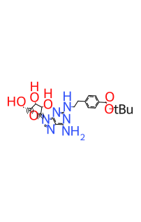 CC(C)(C)OC(=O)c1ccc(CCNc2nc(N)c3ncn([C@@H]4O[C@H](CO)C(O)C4O)c3n2)cc1